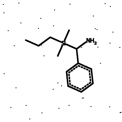 CCC[Si](C)(C)C(N)c1ccccc1